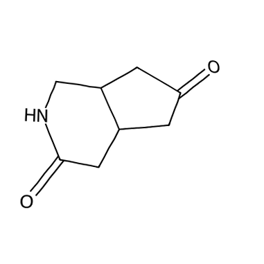 O=C1CC2CNC(=O)CC2C1